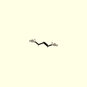 CCCCC=CCCCCC